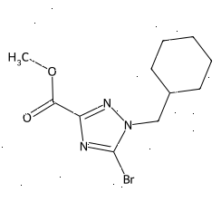 COC(=O)c1nc(Br)n(CC2CCCCC2)n1